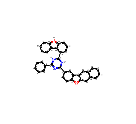 c1ccc(-c2nc(-c3ccc4oc5cc6ccccc6cc5c4c3)nc(-c3cccc4oc5ccccc5c34)n2)cc1